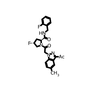 CC(=O)c1nn(CC(=O)N2C[C@H](F)C[C@H]2C(=O)NCc2ccccc2F)c2ccc(C)cc12